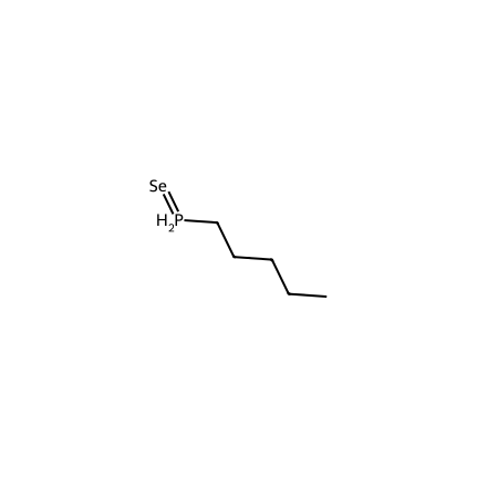 CCCCC[PH2]=[Se]